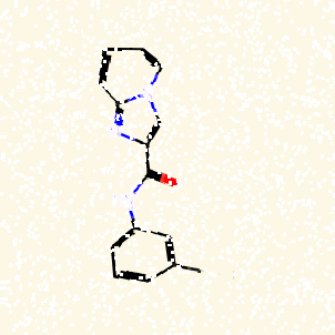 O=C(O)c1cccc(NC(=O)c2cn3ccccc3n2)c1